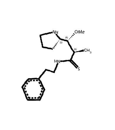 CO[C@@H]([C@@H]1CCCN1)[C@@H](C)C(=S)NCCc1ccccc1